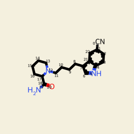 N#Cc1ccc2[nH]cc(CCCCN3CC[CH]CC3C(N)=O)c2c1